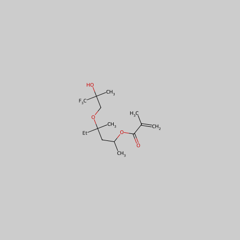 C=C(C)C(=O)OC(C)CC(C)(CC)OCC(C)(O)C(F)(F)F